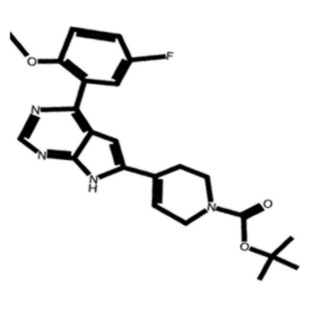 COc1ccc(F)cc1-c1ncnc2[nH]c(C3=CCN(C(=O)OC(C)(C)C)CC3)cc12